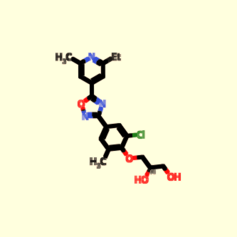 CCc1cc(-c2nc(-c3cc(C)c(OC[C@H](O)CO)c(Cl)c3)no2)cc(C)n1